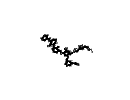 Cc1c(COc2cc(OCc3cncc(C#N)c3)c(CNC/C(N)=C/C=C\N)cc2Cl)cccc1-c1cccc(OCc2cncnc2)c1Cl